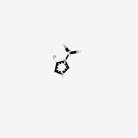 O=[SH](=O)n1ccnc1.[Cr]